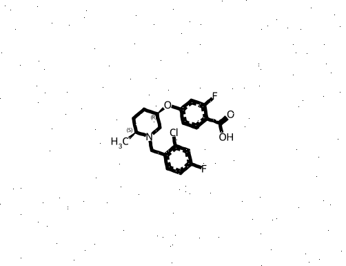 C[C@H]1CC[C@@H](Oc2ccc(C(=O)O)c(F)c2)CN1Cc1ccc(F)cc1Cl